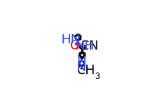 CN1CCN(c2ccc(C(CC#N)CNC(=O)C3CCCCN3)cc2)CC1